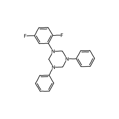 Fc1ccc(F)c(N2CN(c3ccccc3)CN(c3ccccc3)C2)c1